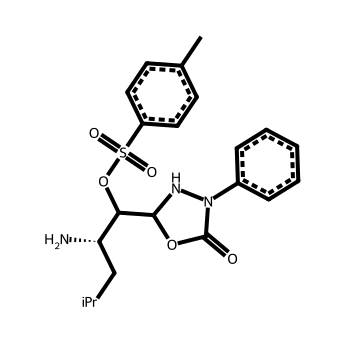 Cc1ccc(S(=O)(=O)OC(C2NN(c3ccccc3)C(=O)O2)[C@@H](N)CC(C)C)cc1